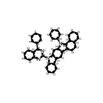 c1ccc(-c2nc(-n3c4ccccc4c4cc5c6ccc7ccccc7c6n(-c6ccccc6)c5cc43)nc3ccccc23)cc1